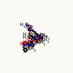 CC[C@H](C)[C@@H]([C@@H](CC(=O)N1CCC[C@H]1[C@H](OC)[C@@H](C)C(=O)N[C@@H](Cc1ccccc1)C(=O)O)OC)N(C)C(=O)[C@H](NC(=O)[C@H](C(C)C)N(C)C(=O)CCCCCN1C(=O)CC(SN(C)I)C1=O)C(C)C